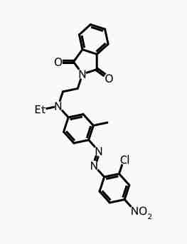 CCN(CCN1C(=O)c2ccccc2C1=O)c1ccc(N=Nc2ccc([N+](=O)[O-])cc2Cl)c(C)c1